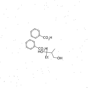 CCC(C)(O)C(C)CO.O=C(O)c1ccccc1.O=C(O)c1ccccc1